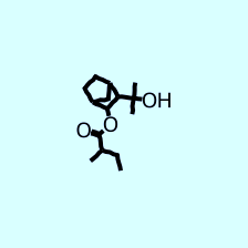 CCC(C)C(=O)OC1C2CCC(C2)C1C(C)(C)O